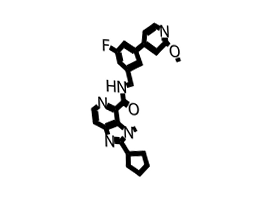 COc1cc(-c2cc(F)cc(CNC(=O)c3nccc4nc(C5CCCC5)n(C)c34)c2)ccn1